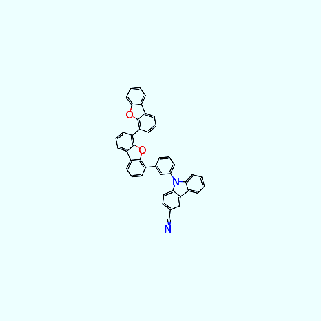 N#Cc1ccc2c(c1)c1ccccc1n2-c1cccc(-c2cccc3c2oc2c(-c4cccc5c4oc4ccccc45)cccc23)c1